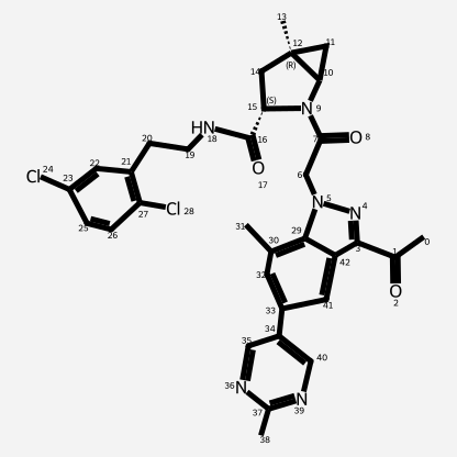 CC(=O)c1nn(CC(=O)N2C3C[C@]3(C)C[C@H]2C(=O)NCCc2cc(Cl)ccc2Cl)c2c(C)cc(-c3cnc(C)nc3)cc12